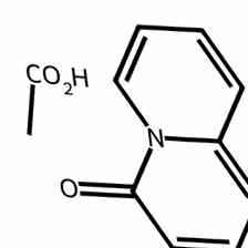 CC(=O)O.O=c1cccc2ccccn12